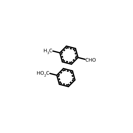 Cc1ccc(C=O)cc1.O=C(O)c1ccccc1